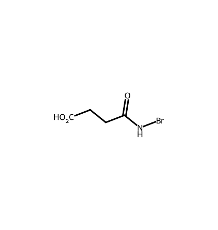 O=C(O)CCC(=O)NBr